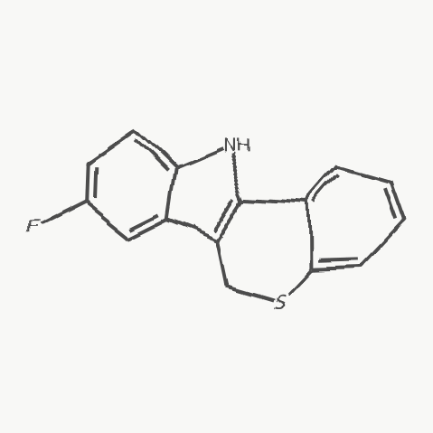 Fc1ccc2[nH]c3c(c2c1)CSc1ccccc1-3